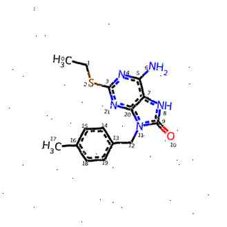 CCSc1nc(N)c2[nH]c(=O)n(Cc3ccc(C)cc3)c2n1